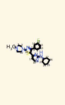 CN1CCN(c2nc(-c3cccc(F)c3)c(-c3ccnc(NC4CCCCC4)n3)s2)CC1